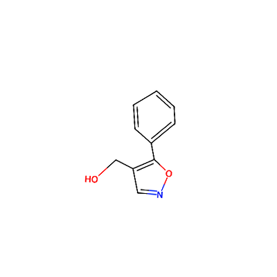 OCc1cnoc1-c1ccccc1